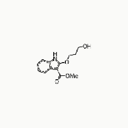 COC(=O)c1c(OCCCO)[nH]c2ccccc12